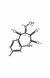 Cc1ccc2c(c1)NC(=O)C(=O)C(=NO)C2=O